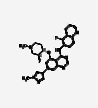 CN1CC[C@H](Oc2cc(-c3cnn(C)c3)cc3ncnc(Nc4ccc5ncccc5c4F)c23)[C@@H](F)C1